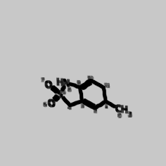 CC1C=C2CS(=O)(=O)NC2=CC1